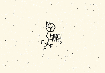 Cl.Cl.NC(CC1CN2CCC1CC2)C(F)(F)F